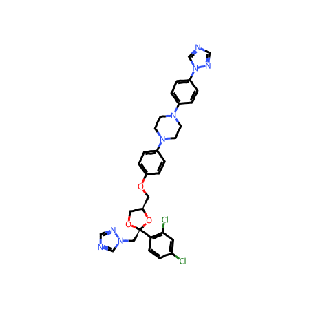 Clc1ccc([C@]2(Cn3cncn3)OC[C@@H](COc3ccc(N4CCN(c5ccc(-n6cncn6)cc5)CC4)cc3)O2)c(Cl)c1